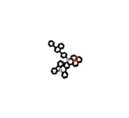 c1ccc(-c2ccc(-c3ccc(N(c4ccccc4)c4ccc(-c5ccccc5-n5c6ccccc6c6ccccc65)cc4-c4ccc5ccccc5c4)cc3)c3ccccc23)cc1